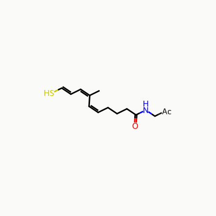 CC(=O)CNC(=O)CCC\C=C/C(C)=C\C=C\S